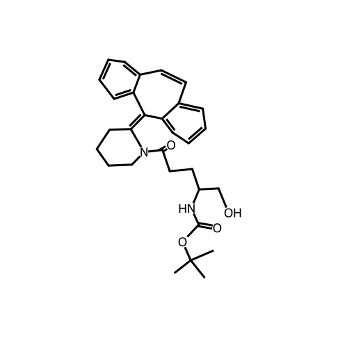 CC(C)(C)OC(=O)NC(CO)CCC(=O)N1CCCCC1=C1c2ccccc2C=Cc2ccccc21